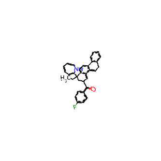 CCC1(C2=CC=CC=CN2)CC(C(=O)c2ccc(F)cc2)C=c2c1ccc1c2=CCc2ccccc2-1